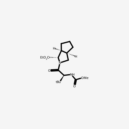 CCOC(=O)[C@@H]1[C@H]2CCC[C@H]2CN1C(=O)[C@@H](NC(=O)OC)C(C)(C)C